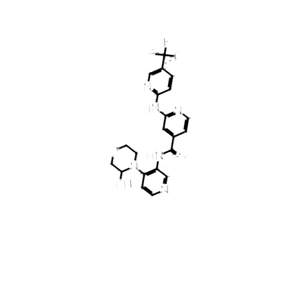 CC1COCCN1c1ccncc1NC(=O)c1ccnc(Nc2ccc(C(F)(F)F)cn2)c1